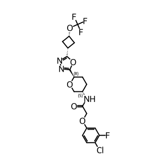 O=C(COc1ccc(Cl)c(F)c1)N[C@H]1CC[C@H](c2nnc([C@H]3C[C@@H](OC(F)(F)F)C3)o2)OC1